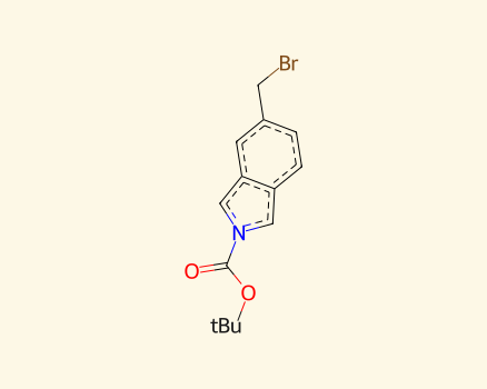 CC(C)(C)OC(=O)n1cc2ccc(CBr)cc2c1